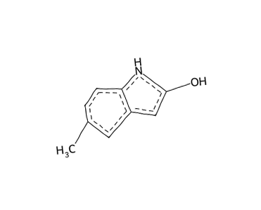 Cc1ccc2[nH]c(O)cc2c1